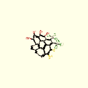 Sc1c(S)c2c([Si](Cl)(Cl)Cl)c([Si](Cl)(Cl)Cl)c3c(Br)c(Br)c4c(Br)c(Br)c5ccc6ccc1c1c6c5c4c3c21